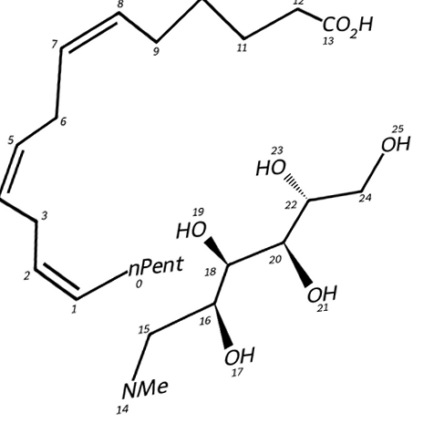 CCCCC/C=C\C/C=C\C/C=C\CCCCC(=O)O.CNC[C@H](O)[C@@H](O)[C@H](O)[C@H](O)CO